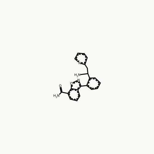 NC(=O)c1cccc2c(-c3ccccc3C(N)Cc3ccccn3)noc12